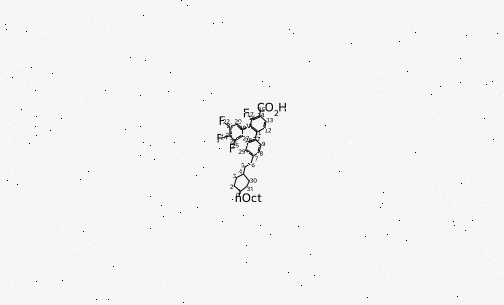 CCCCCCCCC1CCC(CCc2ccc(-c3ccc(C(=O)O)c(F)c3-c3cc(F)c(F)c(F)c3)cc2)CC1